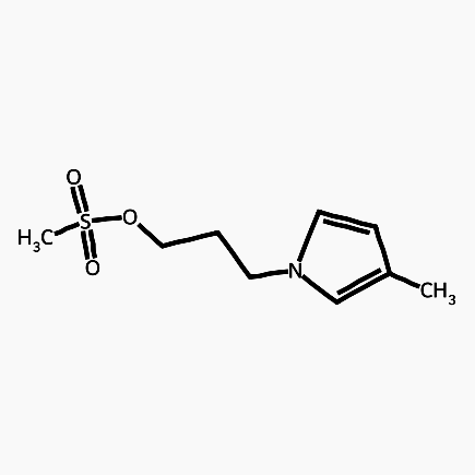 Cc1ccn(CCCOS(C)(=O)=O)c1